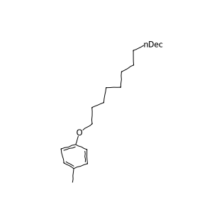 CCCCCCCCCCCCCCCCCCOc1ccc(C)cc1